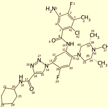 Cc1c(F)c(N)cc(C(=O)Nc2cc(-n3cc(C(=O)NC4CCCCC4)nn3)c(F)cc2N2C[C@@H](C)N(C)[C@@H](C)C2)c1Cl